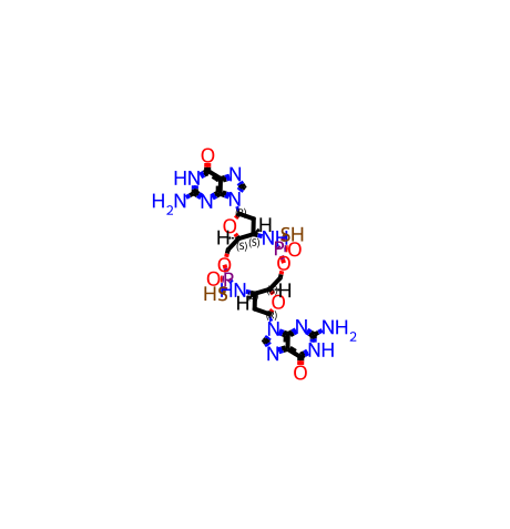 Nc1nc2c(ncn2[C@H]2C[C@@H]3NP(=O)(S)OC[C@H]4O[C@@H](n5cnc6c(=O)[nH]c(N)nc65)C[C@@H]4NP(=O)(S)OC[C@H]3O2)c(=O)[nH]1